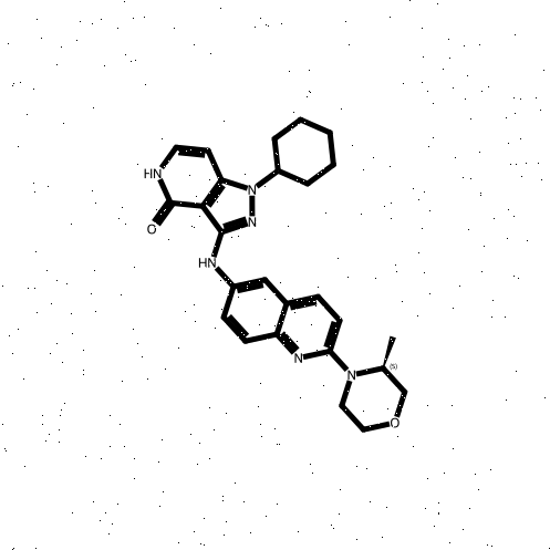 C[C@H]1COCCN1c1ccc2cc(Nc3nn(C4CCCCC4)c4cc[nH]c(=O)c34)ccc2n1